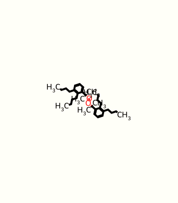 CCCCc1cccc(C(C)(C)OOC(C)(C)c2cccc(CCCC)c2CCCC)c1CCCC